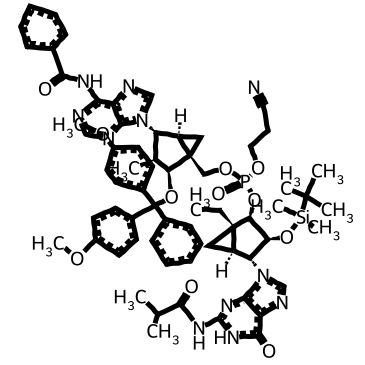 CC[C@]12C[C@@H]1[C@@H](n1cnc3c(=O)[nH]c(NC(=O)C(C)C)nc31)[C@H](O[Si](C)(C)C(C)(C)C)[C@@H]2OP(=O)(OCCC#N)OC[C@]12C[C@@H]1[C@@H](n1cnc3c(NC(=O)c4ccccc4)ncnc31)[C@H](C)[C@@H]2OC(c1ccccc1)(c1ccc(OC)cc1)c1ccc(OC)cc1